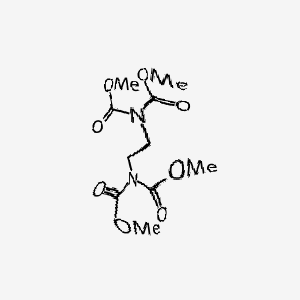 COC(=O)N(CCN(C(=O)OC)C(=O)OC)C(=O)OC